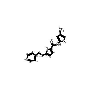 O=C(Nc1cc(C(F)(F)F)cs1)c1ccc(SCc2ccncc2)s1